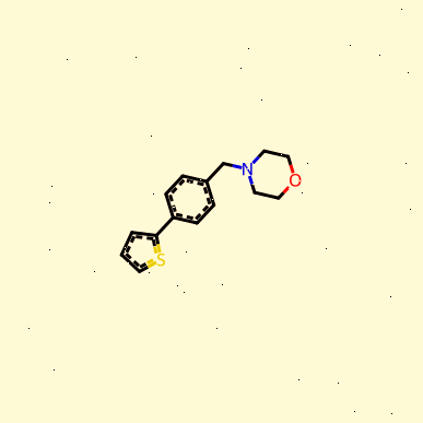 c1csc(-c2ccc(CN3CCOCC3)cc2)c1